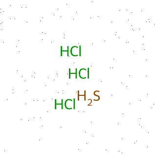 Cl.Cl.Cl.S